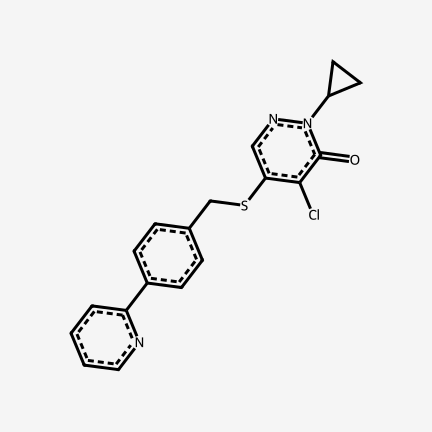 O=c1c(Cl)c(SCc2ccc(-c3ccccn3)cc2)cnn1C1CC1